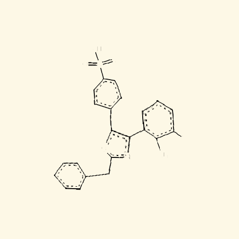 Cc1c(F)cccc1-c1nc(Cc2ccccc2)oc1-c1ccc(S(C)(=O)=O)cc1